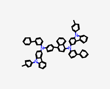 Cc1ccc(-n2c3ccccc3c3cc(N(c4ccc(-c5ccc(N(c6cccc(-c7ccccc7)c6)c6ccc7c(c6)c6ccccc6n7-c6ccc(C)cc6)c6ccccc56)cc4)c4cccc(-c5ccccc5)c4)ccc32)cc1